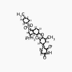 Cc1ccc(S(=O)(=O)n2cc(C(C)C)c3cc(Oc4c(C)cc(-n5ncc(=O)[nH]c5=O)cc4C)ccc32)cc1